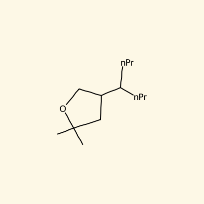 CCCC(CCC)C1COC(C)(C)C1